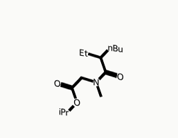 CCCCC(CC)C(=O)N(C)CC(=O)OC(C)C